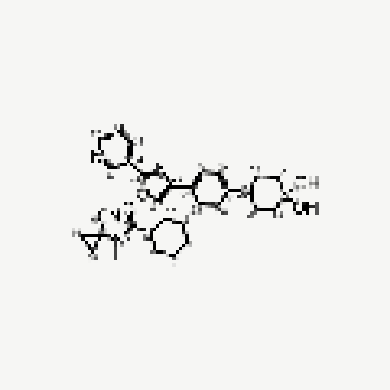 N#CC1(NC(=O)[C@@H]2CCCC[C@H]2c2oc(-c3cncnc3)nc2-c2ccc(N3CCS(O)(O)CC3)cc2)CC1